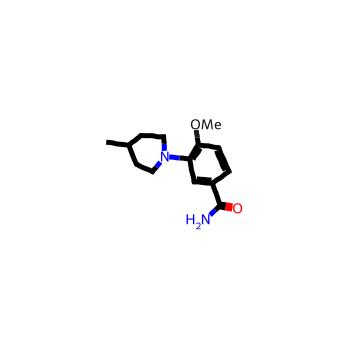 COc1ccc(C(N)=O)cc1N1CCC(C)CC1